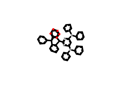 c1ccc(N(c2ccccc2)c2cc(N(c3ccccc3)c3ccccc3)nc(C34c5ccccc5C(c5ccccc5)(c5ccccc53)c3ccccc34)n2)cc1